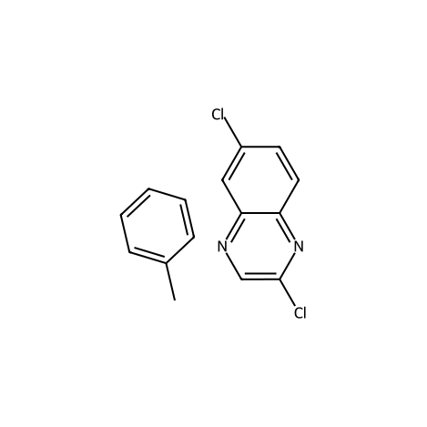 Cc1ccccc1.Clc1ccc2nc(Cl)cnc2c1